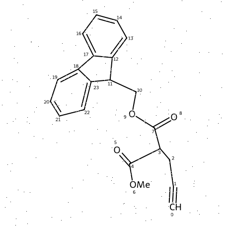 C#CCC(C(=O)OC)C(=O)OCC1c2ccccc2-c2ccccc21